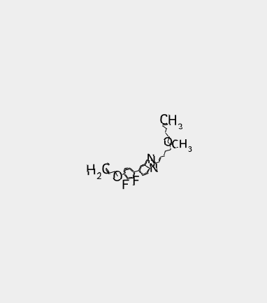 C=CCOc1ccc(-c2ccc3nc(/C=C/CCCC(C)OCCCCC)ncc3c2)c(F)c1F